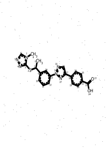 CC(Sc1nncn1C)c1cccc(-n2ncc(-c3ccc(C(=O)O)cc3)n2)c1